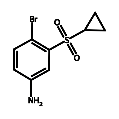 Nc1ccc(Br)c(S(=O)(=O)C2CC2)c1